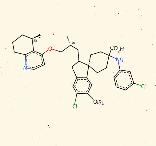 CC(C)COc1cc2c(cc1Cl)CC(C[C@@H](C)COc1ccnc3c1[C@H](C)CCC3)C21CCC(Nc2cccc(Cl)c2)(C(=O)O)CC1